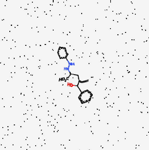 C=C(CC(NNc1ccccc1)C(=O)O)C(O)c1ccccc1